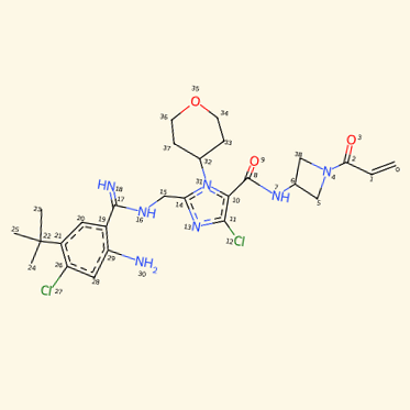 C=CC(=O)N1CC(NC(=O)c2c(Cl)nc(CNC(=N)c3cc(C(C)(C)C)c(Cl)cc3N)n2C2CCOCC2)C1